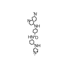 CN(C)c1ccc2c(Nc3ccc(C(=O)Nc4cccc(Nc5cc[n+](C)cc5)c4)cc3)ccnc2c1